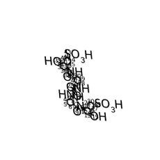 O=C(Nc1cccc(C(=O)Nc2ccc(O)c3cc(S(=O)(=O)O)ccc23)c1)C(=O)Nc1cccc(C(=O)Nc2ccc(O)c3cc(S(=O)(=O)O)ccc23)c1